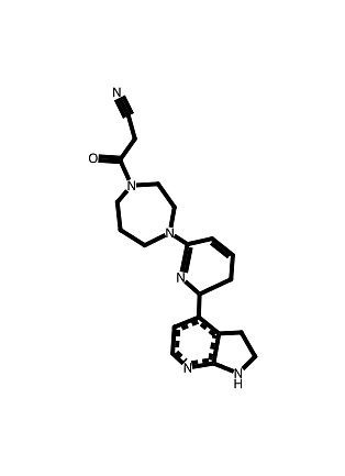 N#CCC(=O)N1CCCN(C2=NC(c3ccnc4c3CCN4)CC=C2)CC1